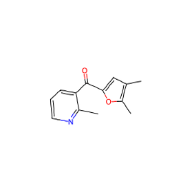 Cc1cc(C(=O)c2cccnc2C)oc1C